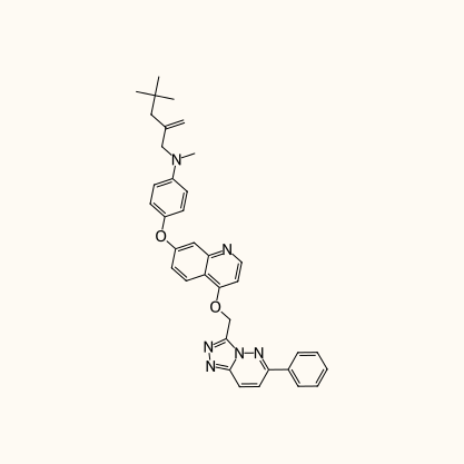 C=C(CN(C)c1ccc(Oc2ccc3c(OCc4nnc5ccc(-c6ccccc6)nn45)ccnc3c2)cc1)CC(C)(C)C